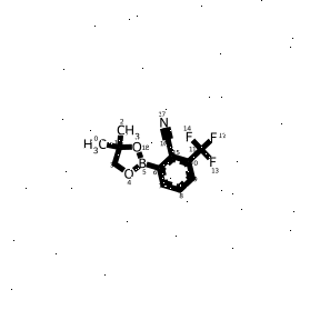 CC1(C)COB(c2cccc(C(F)(F)F)c2C#N)O1